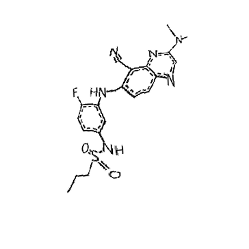 CCCS(=O)(=O)Nc1ccc(F)c(Nc2ccc3ncc(N(C)C)nc3c2C#N)c1